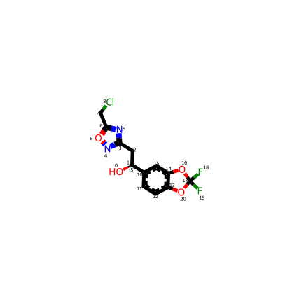 O[C@@H](Cc1noc(CCl)n1)c1ccc2c(c1)OC(F)(F)O2